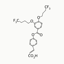 O=C(O)/C=C/c1ccc(OC(=O)c2ccc(OCCCC(F)(F)F)c(OCCCC(F)(F)F)c2)cc1